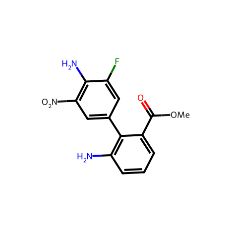 COC(=O)c1cccc(N)c1-c1cc(F)c(N)c([N+](=O)[O-])c1